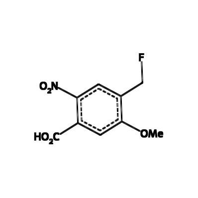 COc1cc(C(=O)O)c([N+](=O)[O-])cc1CF